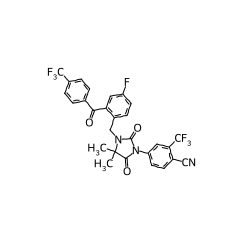 CC1(C)C(=O)N(c2ccc(C#N)c(C(F)(F)F)c2)C(=O)N1Cc1ccc(F)cc1C(=O)c1ccc(C(F)(F)F)cc1